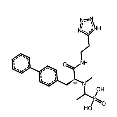 CC(N(C)[C@@H](Cc1ccc(-c2ccccc2)cc1)C(=O)NCCc1nnn[nH]1)P(=O)(O)O